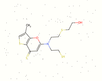 Cc1csc2c(=S)cc(N(CCS)CCSCCO)oc12